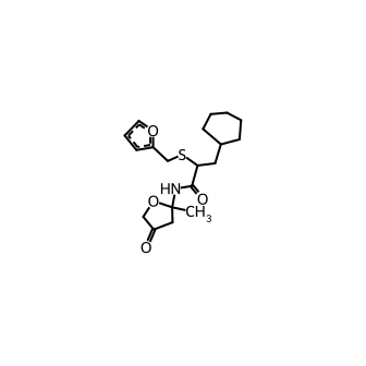 CC1(NC(=O)C(CC2CCCCC2)SCc2ccco2)CC(=O)CO1